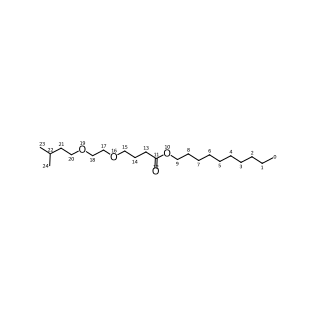 CCCCCCCCCCOC(=O)CCCOCCOCCC(C)C